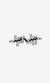 O=C(/C=C/C(=O)OC(=O)[C@H](O)[C@@H](O)[C@H](O)[C@H](O)CO)OC(=O)[C@H](O)[C@@H](O)[C@H](O)[C@H](O)CO